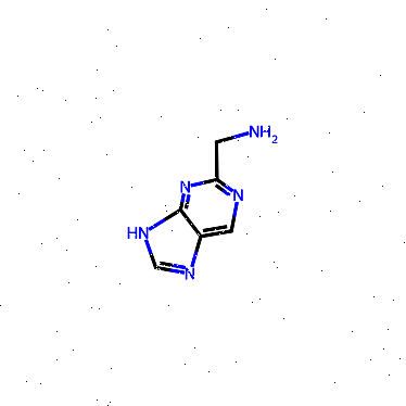 NCc1ncc2nc[nH]c2n1